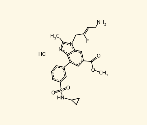 COC(=O)c1cc(-c2cccc(S(=O)(=O)NC3CC3)c2)c2nc(C)n(CC(F)=CCN)c2c1.Cl